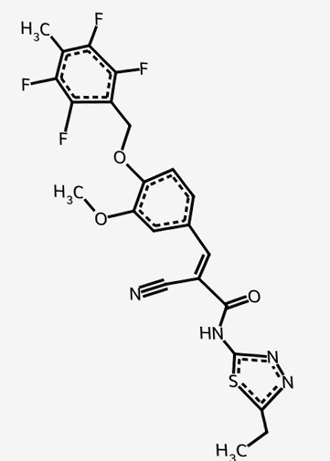 CCc1nnc(NC(=O)/C(C#N)=C/c2ccc(OCc3c(F)c(F)c(C)c(F)c3F)c(OC)c2)s1